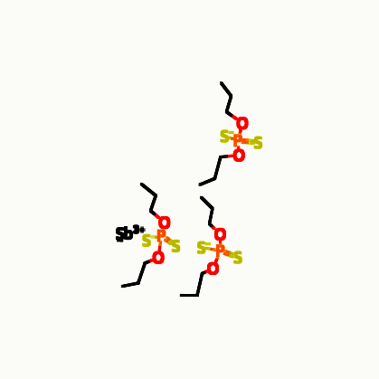 CCCOP(=S)([S-])OCCC.CCCOP(=S)([S-])OCCC.CCCOP(=S)([S-])OCCC.[Sb+3]